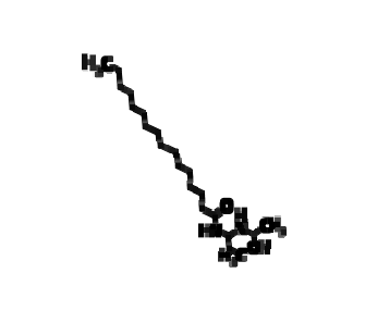 CCCCCCCCCCCCCCCC(=O)NC(CC)NC(C)O